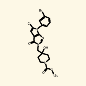 CC(C)(C)OC(=O)N1CCC(O)(Cn2cnc3c(cc(Cl)n3-c3cccc(Br)c3)c2=O)CC1